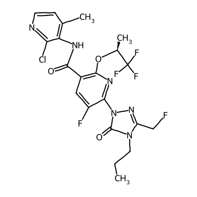 CCCn1c(CF)nn(-c2nc(O[C@@H](C)C(F)(F)F)c(C(=O)Nc3c(C)ccnc3Cl)cc2F)c1=O